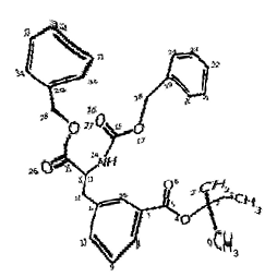 CC(C)(C)OC(=O)c1cccc(C[C@H](NC(=O)OCc2ccccc2)C(=O)OCc2ccccc2)c1